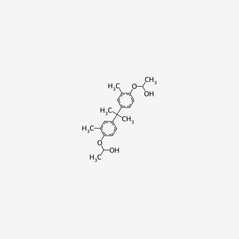 Cc1cc(C(C)(C)c2ccc(OC(C)O)c(C)c2)ccc1OC(C)O